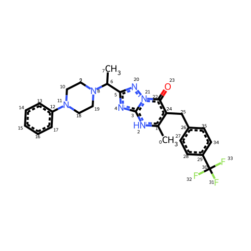 Cc1[nH]c2nc(C(C)N3CCN(c4ccccc4)CC3)nn2c(=O)c1Cc1ccc(C(F)(F)F)cc1